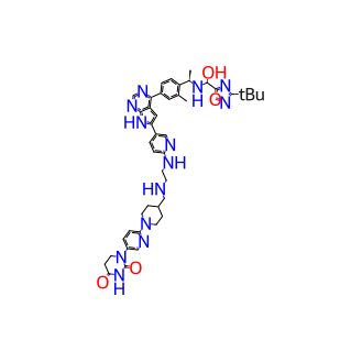 Cc1cc(-c2ncnc3[nH]c(-c4ccc(NCCNCC5CCN(c6ccc(N7CCC(=O)NC7=O)cn6)CC5)nc4)cc23)ccc1[C@@H](C)NC(O)c1nc(C(C)(C)C)no1